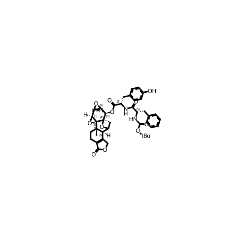 CC(C)[C@]12O[C@H]1[C@@H]1O[C@@]13[C@@]1(C)CCC4=C(COC4=O)[C@@H]1C1C[C@@]3(O1)[C@@H]2OC(=O)[C@H](Cc1ccc(O)cc1)NC(=O)[C@H](Cc1ccccc1)NC(=O)OC(C)(C)C